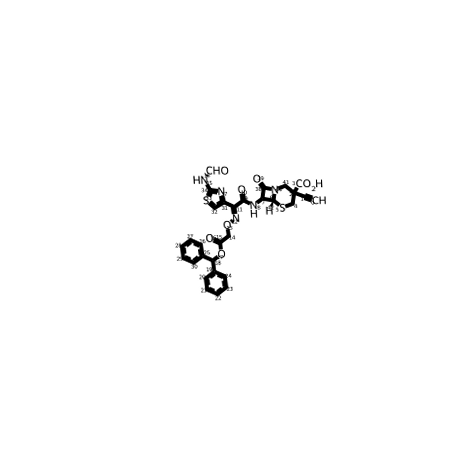 C#CC1(C(=O)O)CS[C@@H]2C(NC(=O)C(=NOCC(=O)OC(c3ccccc3)c3ccccc3)c3csc(NC=O)n3)C(=O)N2C1